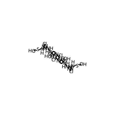 O=S(=O)(O)c1c(NCCNc2nc(Cl)nc(NCCSCCO)n2)ccc2c1Oc1c(Cl)c3c(c(Cl)c1=N2)Oc1c(ccc(NCCNc2nc(Cl)nc(NCCSCCO)n2)c1S(=O)(=O)O)N=3